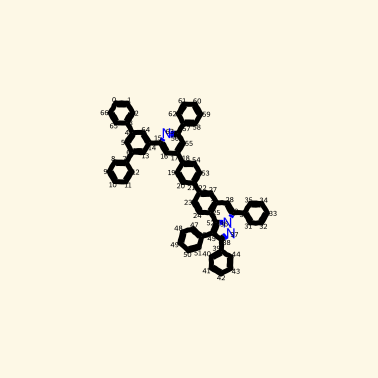 c1ccc(-c2cc(-c3ccccc3)cc(-c3cc(-c4ccc(-c5ccc6c(c5)cc(-c5ccccc5)n5nc(-c7ccccc7)c(-c7ccccc7)c65)cc4)cc(-c4ccccc4)n3)c2)cc1